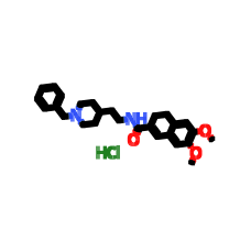 COc1cc2c(cc1OC)CCC(C(=O)NCCC1CCN(Cc3ccccc3)CC1)=C2.Cl